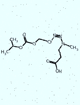 CC(C)OC(=O)OCO/N=N\N(C)CCC(=O)O